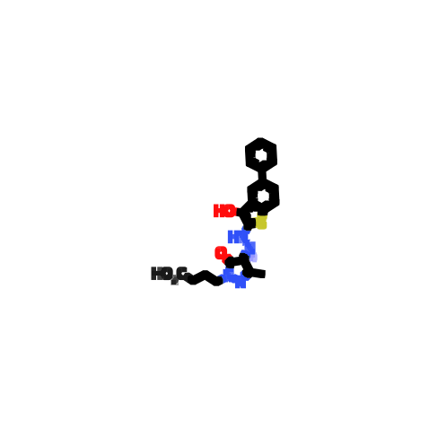 CC1=NN(CCCC(=O)O)C(=O)/C1=N\Nc1sc2ccc(-c3ccccc3)cc2c1O